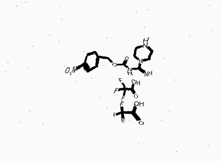 N=C(NC(=O)OCc1ccc([N+](=O)[O-])cc1)N1CCNCC1.O=C(O)C(F)(F)F.O=C(O)C(F)(F)F